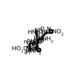 CCC[C@H](NC(=O)[C@H](CCC(=O)O)NC(=O)[C@@H](N)C(C)C)C(=O)N[C@@H](Cc1c[nH]c2ccccc12)C(=O)N[C@@H](CCCNC(=N)N)C(=O)N[C@@H](CCCCNc1ccc([N+](=O)[O-])cc1[N+](=O)[O-])C(N)=O